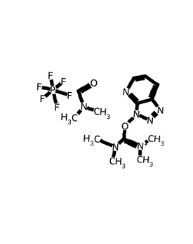 CN(C)C(On1nnc2cccnc21)=[N+](C)C.CN(C)C=O.F[P-](F)(F)(F)(F)F